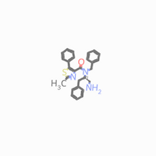 Cc1nc(C(=O)N(Cc2ccccc2)[C@@H](CN)Cc2ccccc2)c(-c2ccccc2)s1